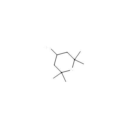 CCCCC1CC(C)(C)NC(C)(C)C1